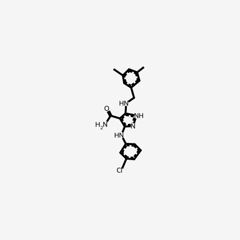 Cc1cc(C)cc(CNc2[nH]nc(Nc3cccc(Cl)c3)c2C(N)=O)c1